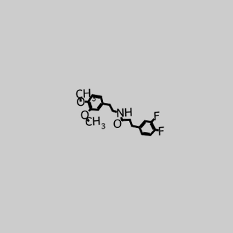 COc1ccc(CCNC(=O)CCc2ccc(F)c(F)c2)cc1OC